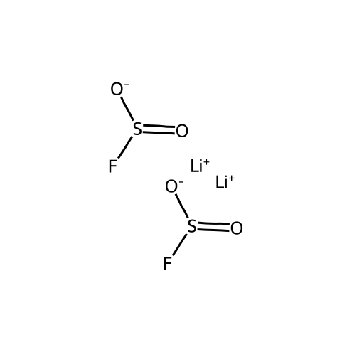 O=S([O-])F.O=S([O-])F.[Li+].[Li+]